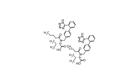 CCCCC(=O)N(Cc1ccc(-c2ccccc2-c2nnn[nH]2)cc1)[C@H](C(=O)O)C(C)C.CCCCC(=O)N(Cc1ccc(-c2ccccc2-c2nnn[nH]2)cc1)[C@H](C(=O)O)C(C)C